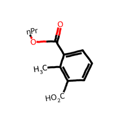 CCCOC(=O)c1cccc(C(=O)O)c1C